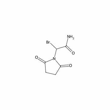 NC(=O)C(Br)N1C(=O)CCC1=O